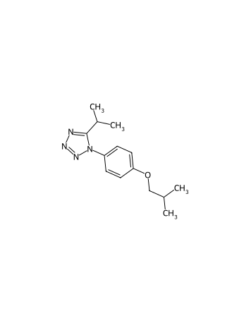 CC(C)COc1ccc(-n2nnnc2C(C)C)cc1